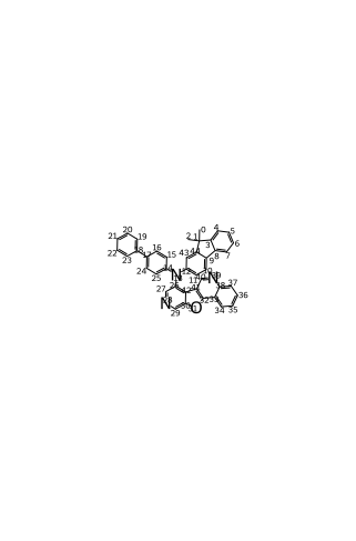 CC1(C)c2ccccc2-c2ccc(N(c3ccc(-c4ccccc4)cc3)c3cncc4oc5c6ccccc6ncc5c34)cc21